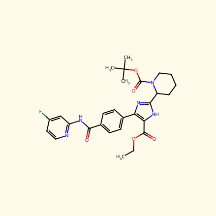 CCOC(=O)c1[nH]c(C2CCCCN2C(=O)OC(C)(C)C)nc1-c1ccc(C(=O)Nc2cc(F)ccn2)cc1